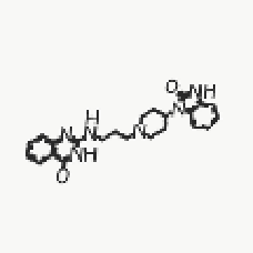 O=c1[nH]c(NCCCN2CCC(n3c(=O)[nH]c4ccccc43)CC2)nc2ccccc12